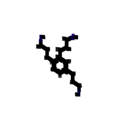 ICCCc1ccc(CCCI)c(CCCI)c1